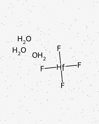 O.O.O.[F][Hf]([F])([F])[F]